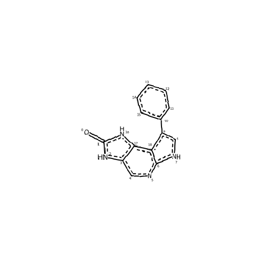 O=c1[nH]c2cnc3[nH]cc(-c4ccccc4)c3c2[nH]1